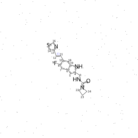 O=C(NCc1cc2cc(F)c(/C=C/c3cscn3)cc2[nH]1)N1CCC1